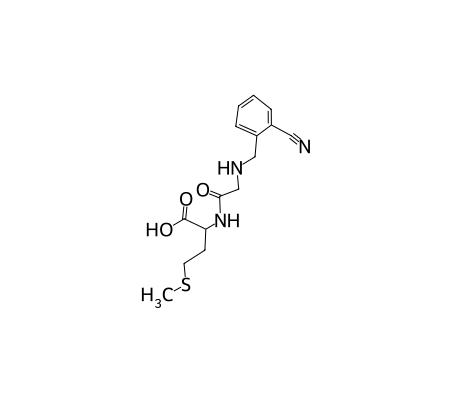 CSCCC(NC(=O)CNCc1ccccc1C#N)C(=O)O